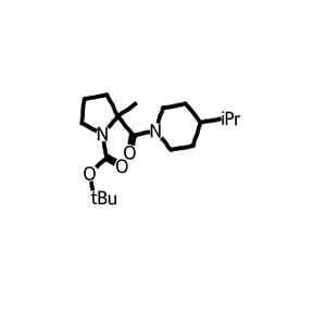 CC(C)C1CCN(C(=O)C2(C)CCCN2C(=O)OC(C)(C)C)CC1